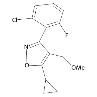 COCc1c(-c2c(F)cccc2Cl)noc1C1CC1